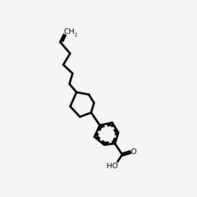 C=CCCCCC1CCC(c2ccc(C(=O)O)cc2)CC1